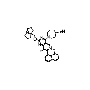 N#CC1CCCN(c2nc(OCC34CCCN3CCC4)nc3c(F)c(-c4cccc5cccc(F)c45)ncc23)CC1